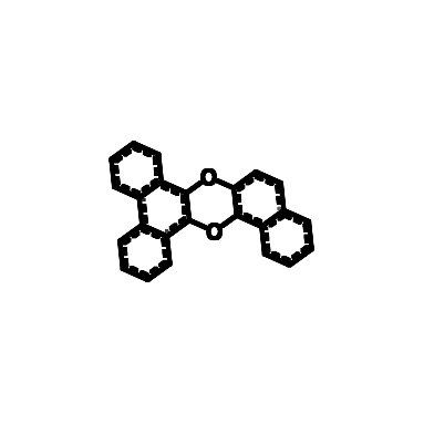 c1ccc2c3c(ccc2c1)Oc1c(c2ccccc2c2ccccc12)O3